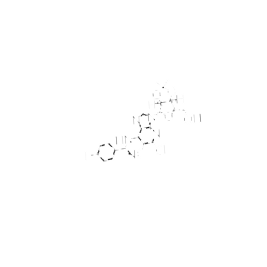 CC(Nc1c(C#N)c(Cl)nc2c1ncn2[C@@H]1O[C@H](CO)[C@H]2OC(C)(C)O[C@H]21)c1ccc(F)cc1